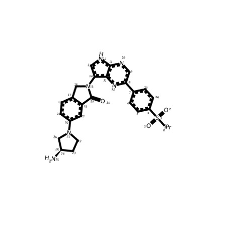 CC(C)S(=O)(=O)c1ccc(-c2cnc3[nH]cc(N4Cc5ccc(N6CC[C@@H](N)C6)cc5C4=O)c3n2)cc1